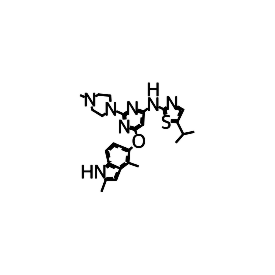 Cc1cc2c(C)c(Oc3cc(Nc4ncc(C(C)C)s4)nc(N4CCN(C)CC4)n3)ccc2[nH]1